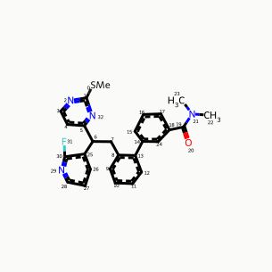 CSc1nccc(C(Cc2ccccc2-c2cccc(C(=O)N(C)C)c2)c2cccnc2F)n1